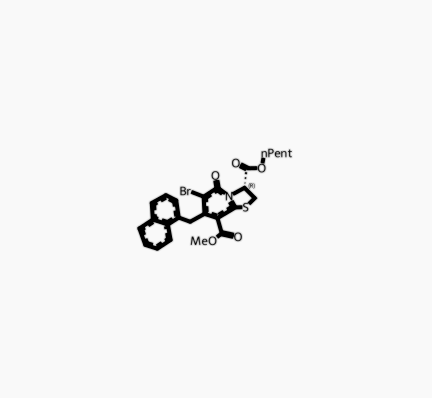 CCCCCOC(=O)[C@@H]1CSc2c(C(=O)OC)c(Cc3cccc4ccccc34)c(Br)c(=O)n21